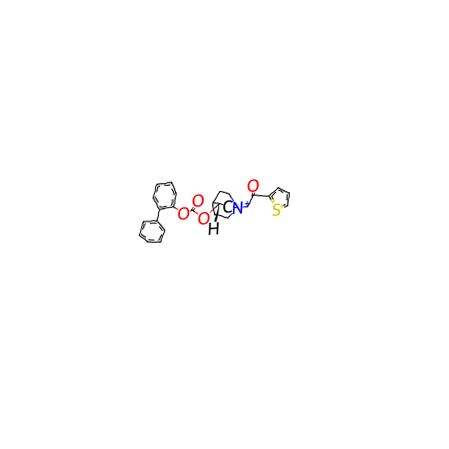 O=C(Oc1ccccc1-c1ccccc1)O[C@H]1C[N+]2(CC(=O)c3cccs3)CCC1CC2